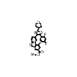 COC(=O)c1cc(C)c(-n2cc(-c3nc(C4CCOCC4)oc3-c3ccc(F)cc3F)ccc2=O)c(C)c1